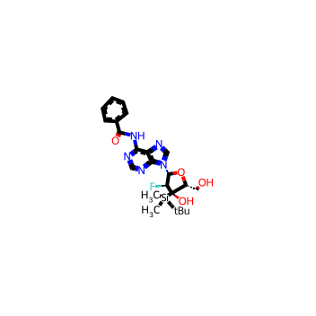 CC(C)(C)[Si](C)(C)[C@@]1(O)[C@@H](CO)O[C@@H](n2cnc3c(NC(=O)c4ccccc4)ncnc32)[C@@H]1F